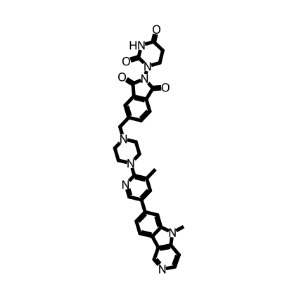 Cc1cc(-c2ccc3c4cnccc4n(C)c3c2)cnc1N1CCN(Cc2ccc3c(c2)C(=O)N(N2CCC(=O)NC2=O)C3=O)CC1